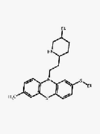 CCSc1ccc2c(c1)N(CCC1CCC(CC)CN1)c1ccc(C)cc1S2